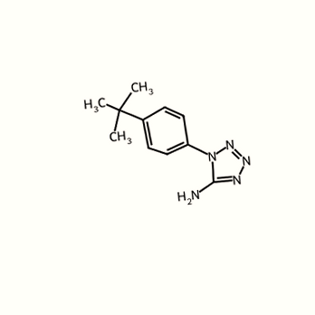 CC(C)(C)c1ccc(-n2nnnc2N)cc1